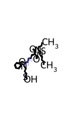 CCCCN1C(=O)C(=C/C=C/C=C2\Oc3ccccc3N2CCCSO)C(=O)N(CCCC)C1=S